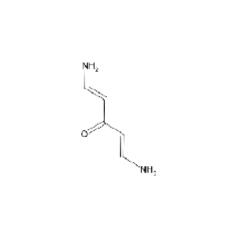 NC=CC(=O)C=CN